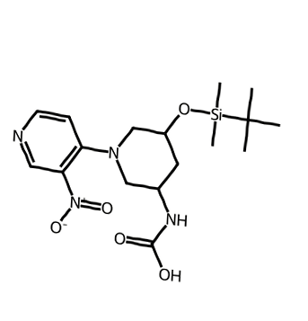 CC(C)(C)[Si](C)(C)OC1CC(NC(=O)O)CN(c2ccncc2[N+](=O)[O-])C1